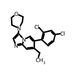 CCc1cc2ncc(N3CCOCC3)n2cc1-c1ccc(Cl)cc1Cl